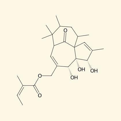 C/C=C(/C)C(=O)OCC1=CC2C(=O)C3(C=C(C)[C@H](O)[C@@]3(O)[C@@H]1O)C(C)CC(C)C2(C)C